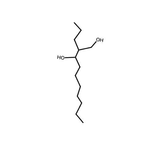 CCCCCCCC(O)C(CO)CCC